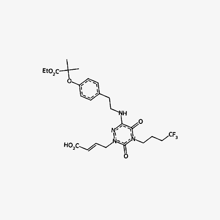 CCOC(=O)C(C)(C)Oc1ccc(CCNc2nn(CC=CC(=O)O)c(=O)n(CCCC(F)(F)F)c2=O)cc1